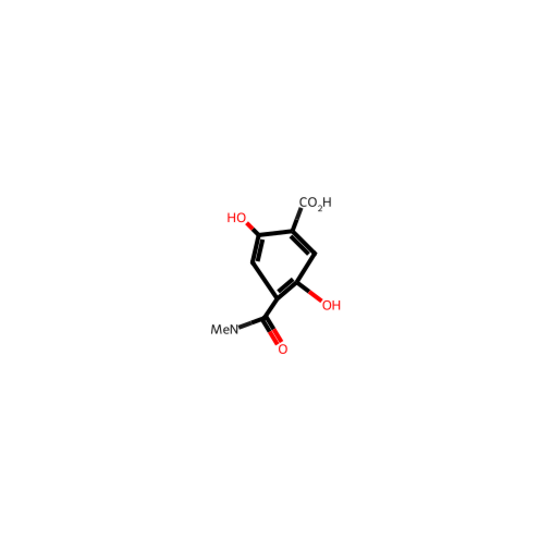 CNC(=O)c1cc(O)c(C(=O)O)cc1O